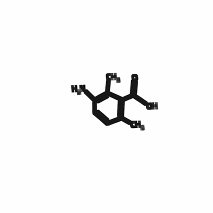 Cc1ccc(N)c(C)c1C(=O)O